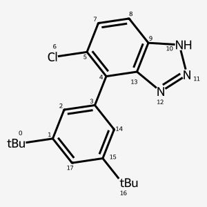 CC(C)(C)c1cc(-c2c(Cl)ccc3[nH]nnc23)cc(C(C)(C)C)c1